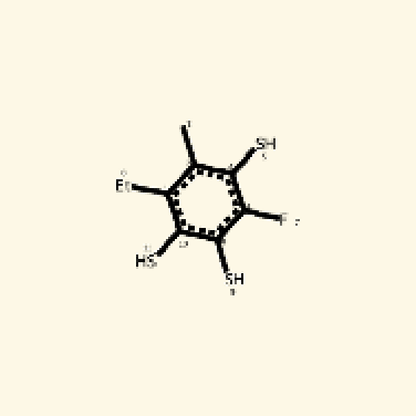 CCc1c(C)c(S)c(F)c(S)c1S